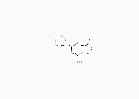 Cc1cc(-c2ccc(Cl)cc2)nc2c(I)cnn12